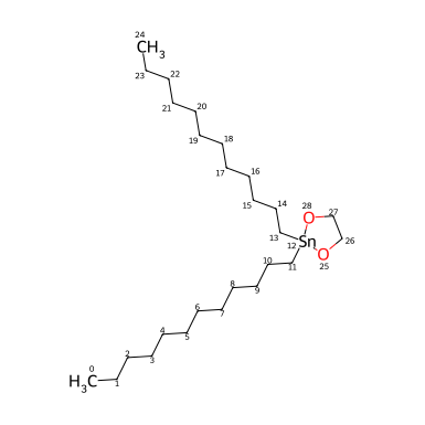 CCCCCCCCCCC[CH2][Sn]1([CH2]CCCCCCCCCCC)[O]CC[O]1